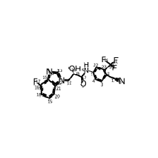 N#Cc1ccc(NC(=O)[C@@H](O)Cn2cnc3c(F)cccc32)cc1C(F)(F)F